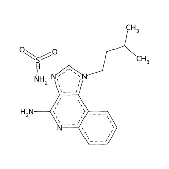 CC(C)CCn1cnc2c(N)nc3ccccc3c21.N[SH](=O)=O